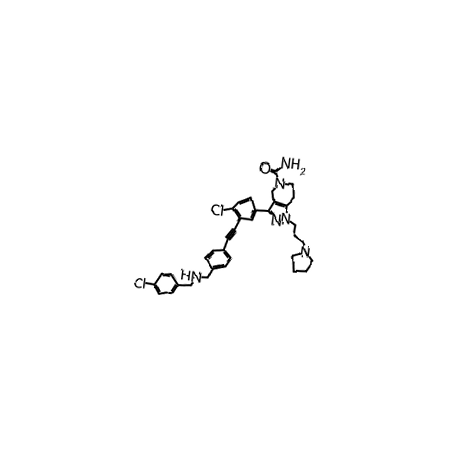 NC(=O)N1CCc2c(c(-c3ccc(Cl)c(C#Cc4ccc(CNCc5ccc(Cl)cc5)cc4)c3)nn2CCCN2CCCC2)C1